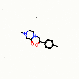 Cc1ccc(C(=O)CN2CCN(C)CC2=O)cc1